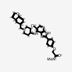 CNC(=O)COc1ccc(-c2nc3c(NC4CCN(Cc5ccc6occc6c5)CC4)c(Cl)cnc3[nH]2)cc1